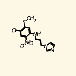 CSc1cc(NCCCn2ccnc2)c([N+](=O)[O-])cc1Cl